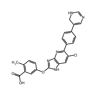 Cc1ccc(Oc2nc3nc(-c4ccc(C5=CN=CNC5)cc4)c(Cl)cc3[nH]2)cc1C(=O)O